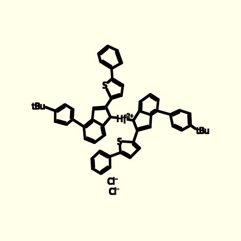 CC(C)(C)c1ccc(-c2cccc3c2C=C(c2ccc(-c4ccccc4)s2)[CH]3[Hf+2][CH]2C(c3ccc(-c4ccccc4)s3)=Cc3c(-c4ccc(C(C)(C)C)cc4)cccc32)cc1.[Cl-].[Cl-]